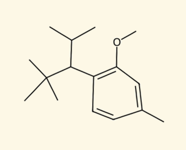 COc1cc(C)ccc1C(C(C)C)C(C)(C)C